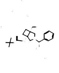 C[C@H](c1ccccc1)N1C[C@@]2(CF)CC[C@@]2(NC(=O)OC(C)(C)C)C1